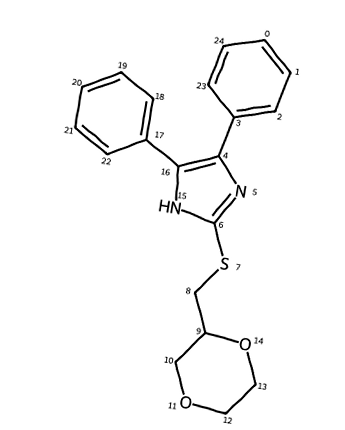 c1ccc(-c2nc(SCC3COCCO3)[nH]c2-c2ccccc2)cc1